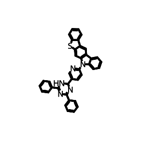 c1ccc(C2=NC(c3ccc(-n4c5ccccc5c5cc6c(cc54)sc4ccccc46)nc3)NC(c3ccccc3)=N2)cc1